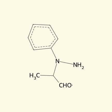 CC([C]=O)N(N)c1ccccc1